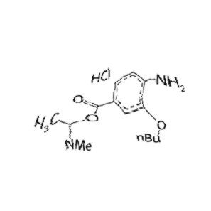 CCCCOc1cc(C(=O)OC(C)NC)ccc1N.Cl